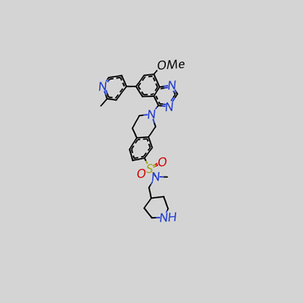 COc1cc(-c2ccnc(C)c2)cc2c(N3CCc4ccc(S(=O)(=O)N(C)CC5CCNCC5)cc4C3)ncnc12